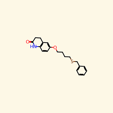 O=C1CCc2cc(OCCCCSCc3ccccc3)ccc2N1